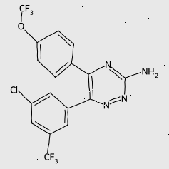 Nc1nnc(-c2cc(Cl)cc(C(F)(F)F)c2)c(-c2ccc(OC(F)(F)F)cc2)n1